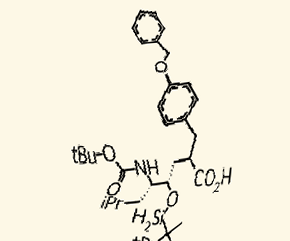 CC(C)C[C@H](NC(=O)OC(C)(C)C)[C@H](C[C@@H](Cc1ccc(OCc2ccccc2)cc1)C(=O)O)O[SiH2]C(C)(C)C(C)(C)C